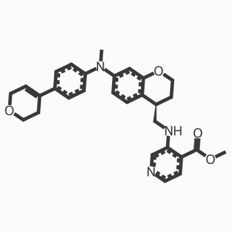 COC(=O)c1ccncc1NC[C@@H]1CCOc2cc(N(C)c3ccc(C4=CCOCC4)cc3)ccc21